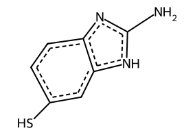 Nc1nc2ccc(S)cc2[nH]1